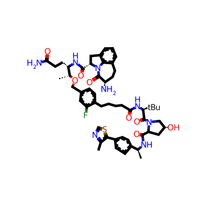 Cc1ncsc1-c1ccc([C@H](C)NC(=O)C2C[C@@H](O)CN2C(=O)[C@@H](NC(=O)CCCCc2ccc(CO[C@H](C)[C@H](CCC(N)=O)NC(=O)[C@@H]3Cc4cccc5c4N3C(=O)[C@@H](N)CC5)cc2F)C(C)(C)C)cc1